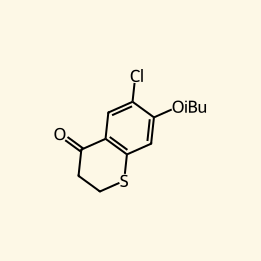 CC(C)COc1cc2c(cc1Cl)C(=O)CCS2